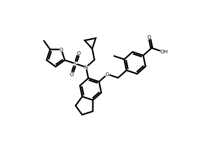 Cc1ccc(S(=O)(=O)N(CC2CC2)c2cc3c(cc2OCc2ccc(C(=O)O)cc2C)CCC3)o1